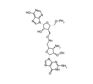 Nc1nc2c(ncn2[C@@H]2OC(CPOC[C@H]3[C@@H](O)[C@H](n4cnc5c(O)ncnc54)O[C@@H]3COP)[C@@H](N)[C@H]2OO)c(=O)[nH]1